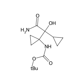 CC(C)(C)OC(=O)NC1(C(O)(C(N)=O)C2CC2)CC1